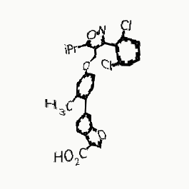 Cc1cc(OCc2c(-c3c(Cl)cccc3Cl)noc2C(C)C)ccc1-c1ccc2c(C(=O)O)coc2c1